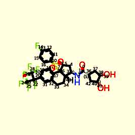 O=C(N[C@@H]1CC[C@@]2(S(=O)(=O)c3ccc(F)cc3)c3ccc(C(F)(C(F)(F)F)C(F)(F)F)cc3CC[C@@H]12)[C@@H]1C[C@@H](O)[C@@H](O)C1